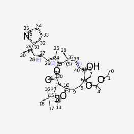 CCOC(C)O[C@]1(C)CC[C@@H](O[Si](C)(C)C(C)(C)C)CC(=O)O[C@H](/C(C)=C/C=C/[C@@H](C)c2ccccn2)[C@@H](C)/C=C/[C@@H]1O